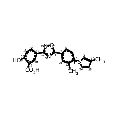 CC1=C[SH](c2ccc(-c3nc(-c4ccc(O)c(C(=O)O)c4)no3)cc2C)C=C1